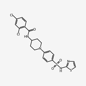 O=C(NC1CCN(c2ccc(S(=O)(=O)Nc3nccs3)cc2)CC1)c1ccc(Cl)cc1Cl